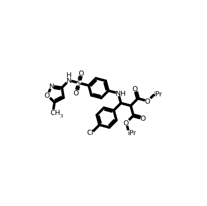 Cc1cc(NS(=O)(=O)c2ccc(NC(c3ccc(Cl)cc3)C(C(=O)OC(C)C)C(=O)OC(C)C)cc2)no1